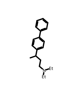 CCN(CC)CCC(C)c1ccc(-c2ccccc2)cc1